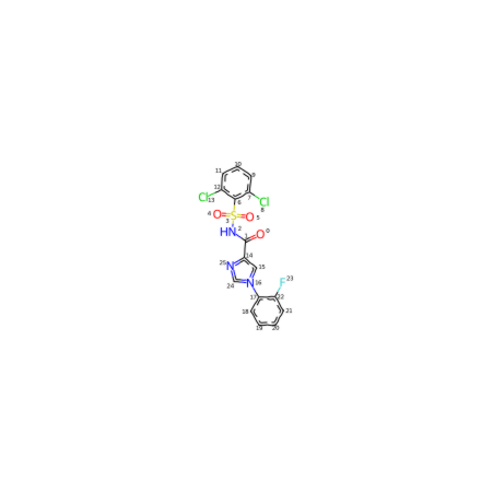 O=C(NS(=O)(=O)c1c(Cl)cccc1Cl)c1cn(-c2ccccc2F)cn1